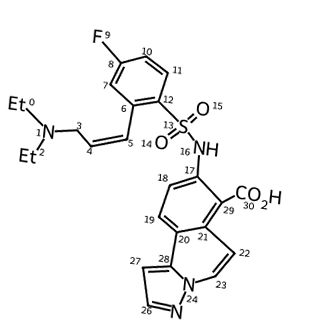 CCN(CC)C/C=C\c1cc(F)ccc1S(=O)(=O)Nc1ccc2c(ccn3nccc23)c1C(=O)O